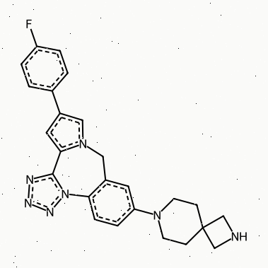 Fc1ccc(-c2cc3n(c2)Cc2cc(N4CCC5(CC4)CNC5)ccc2-n2nnnc2-3)cc1